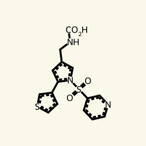 O=C(O)NCc1cc(-c2ccsc2)n(S(=O)(=O)c2cccnc2)c1